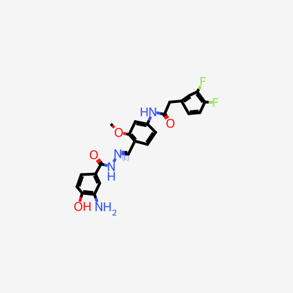 COc1cc(NC(=O)Cc2ccc(F)c(F)c2)ccc1/C=N/NC(=O)c1ccc(O)c(N)c1